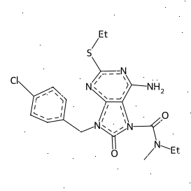 CCSc1nc(N)c2c(n1)n(Cc1ccc(Cl)cc1)c(=O)n2C(=O)N(C)CC